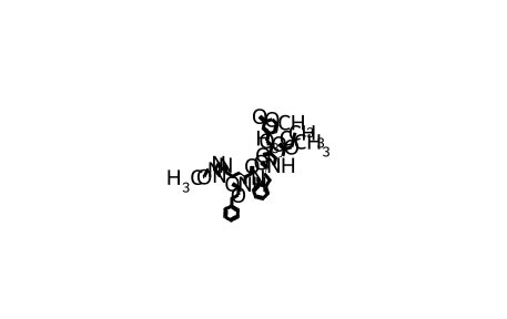 COCn1nnc(CC[C@H](NC(=O)OCc2ccccc2)C(=O)N2c3ccccc3C[C@H]2C(=O)N[C@@H](CC(=O)OC(C)(C)C)C(=O)COc2cc(C)oc(=O)c2)n1